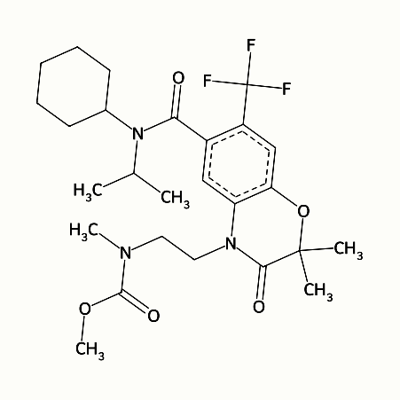 COC(=O)N(C)CCN1C(=O)C(C)(C)Oc2cc(C(F)(F)F)c(C(=O)N(C(C)C)C3CCCCC3)cc21